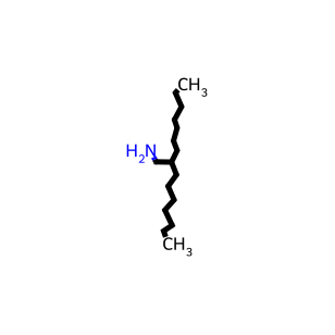 CCCCCCCC(CN)CCCCCCC